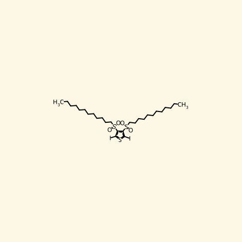 CCCCCCCCCCCCS(=O)(=O)c1c(I)sc(I)c1S(=O)(=O)CCCCCCCCCCCC